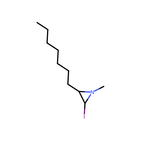 CCCCCCCC1C(I)N1C